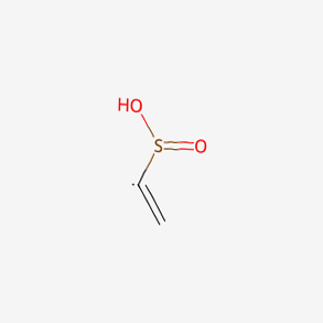 C=[C]S(=O)O